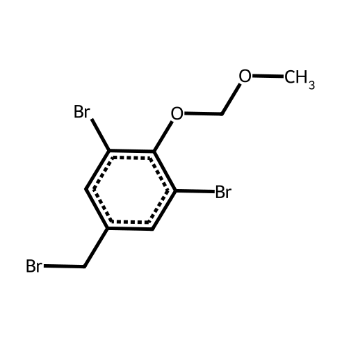 COCOc1c(Br)cc(CBr)cc1Br